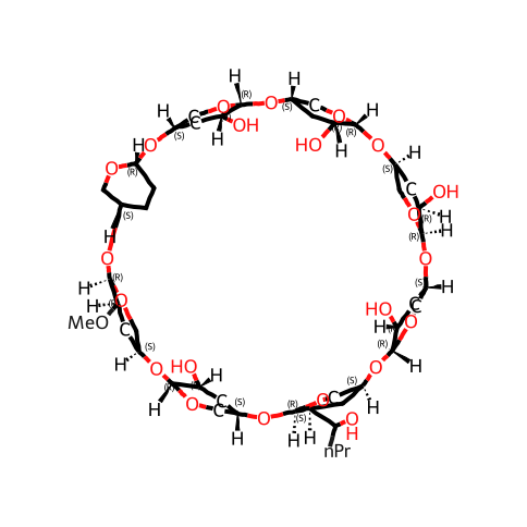 CCCC(O)[C@@H]1C[C@H]2CO[C@@H]1O[C@@H]1CO[C@H](O[C@@H]3CO[C@H](O[C@H]4CC[C@H](OC4)O[C@@H]4CO[C@H](O[C@@H]5CO[C@H](O[C@@H]6CO[C@H](O[C@@H]7CO[C@H](O2)[C@H](O)C7)[C@H](O)C6)[C@H](O)C5)[C@H](O)C4)[C@H](OC)C3)[C@H](O)C1